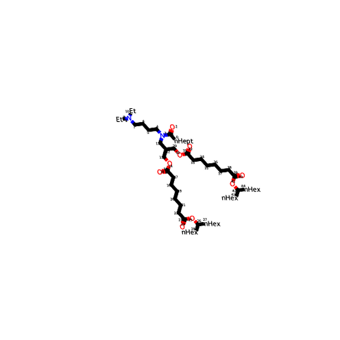 CCCCCCCC(=O)N(CCCCN(CC)CC)CC(COC(=O)CCCCCCC(=O)OC(CCCCCC)CCCCCC)COC(=O)CCCCCCC(=O)OC(CCCCCC)CCCCCC